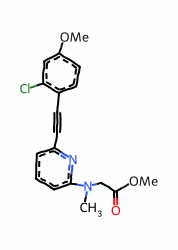 COC(=O)CN(C)c1cccc(C#Cc2ccc(OC)cc2Cl)n1